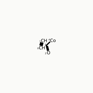 C#C.O=[CH][Co]